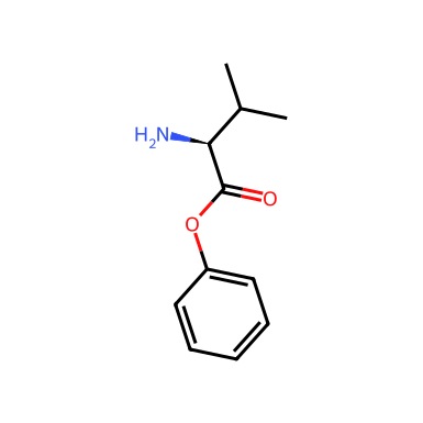 CC(C)[C@H](N)C(=O)Oc1ccccc1